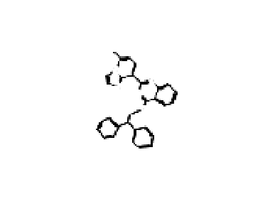 Cc1ccc(-c2nc(NCC(c3ccccc3)c3ccccc3)c3ccccc3n2)c2nccn12